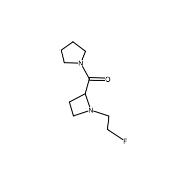 O=C(C1CCN1CCF)N1C[CH]CC1